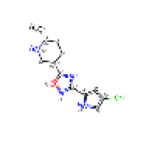 C[C@@H]1CC[C@H](c2nc(-c3cc(Cl)c[nH]3)no2)CN1